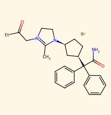 CCC(=O)C[N+]1=C(C)N([C@H]2CC[C@@H](C(C(N)=O)(c3ccccc3)c3ccccc3)C2)CC1.[Br-]